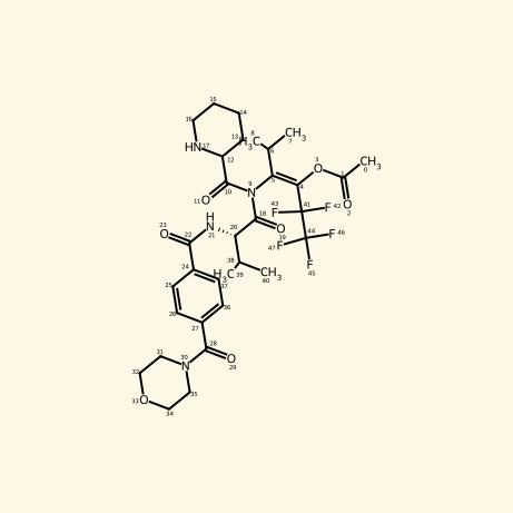 CC(=O)O/C(=C(\C(C)C)N(C(=O)C1CCCCN1)C(=O)[C@@H](NC(=O)c1ccc(C(=O)N2CCOCC2)cc1)C(C)C)C(F)(F)C(F)(F)F